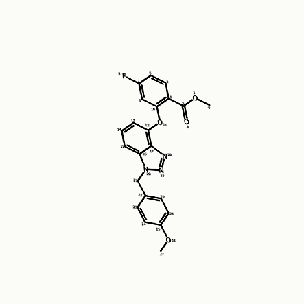 COC(=O)c1ccc(F)cc1Oc1cccc2c1nnn2Cc1ccc(OC)cc1